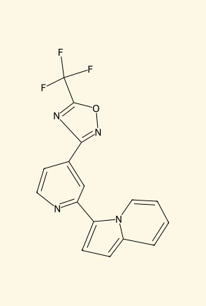 FC(F)(F)c1nc(-c2ccnc(-c3ccc4ccccn34)c2)no1